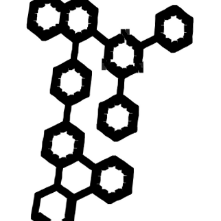 C1=CCC2C(=C1)c1ccccc1-c1cc(-c3ccc(-c4c(-c5nc(-c6ccccc6)nc(-c6ccccc6)n5)ccc5ccccc45)cc3)ccc12